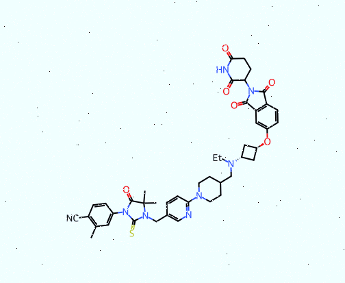 CCN(CC1CCN(c2ccc(CN3C(=S)N(c4ccc(C#N)c(C)c4)C(=O)C3(C)C)cn2)CC1)[C@H]1C[C@H](Oc2ccc3c(c2)C(=O)N(C2CCC(=O)NC2=O)C3=O)C1